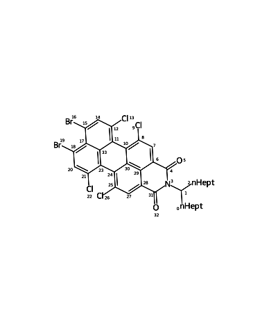 CCCCCCCC(CCCCCCC)N1C(=O)c2cc(Cl)c3c4c(Cl)cc(Br)c5c(Br)cc(Cl)c(c6c(Cl)cc(c2c36)C1=O)c54